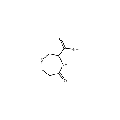 [NH]C(=O)C1CSCCC(=O)N1